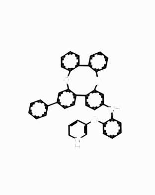 C1=CC(Oc2ccccc2Nc2ccc3c(c2)Oc2ccccc2-c2ccccc2Oc2cc(-c4ccccc4)ccc2-3)=CNC1